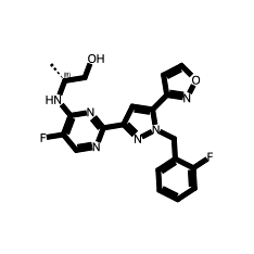 C[C@H](CO)Nc1nc(-c2cc(-c3ccon3)n(Cc3ccccc3F)n2)ncc1F